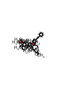 CC[C@]1(O)C[C@H]2CN(CCc3c([nH]c4ccc(C#Cc5ccccc5)cc34)[C@@](C(=O)OC)(c3cc4c(cc3OC)N(C)[C@H]3[C@@](O)(C(=O)OC)[C@H](OC(C)=O)[C@]5(CC)C=CCN6CC[C@]43[C@@H]65)C2)C1